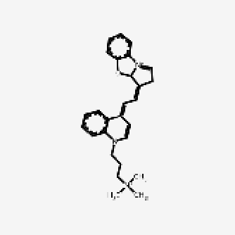 C[N+](C)(C)CCCN1C=CC(=CC=C2CC=[N+]3c4ccccc4OC23)c2ccccc21